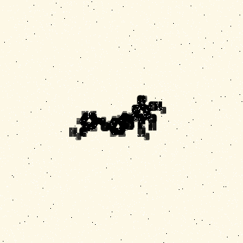 Cc1c(-c2cc3cc(OCC4CCCN(C)C4)ccc3o2)oc(=O)c(C)c1O